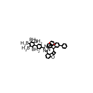 Bc1c(B)c(B)c(-c2ccc(-c3nc(-c4ccccc4)nc(-c4cccc5oc6c(c45)C(C4c5ccccc5-c5ccc(-c7ccccc7)cc54)=C6)n3)cc2)c(B)c1B